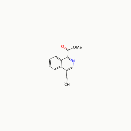 C#Cc1cnc(C(=O)OC)c2ccccc12